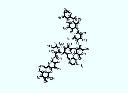 CC(CO)OC(OC1C(CN2CCN(C)CC2)OC(OC(C(CO)OOC2C(C)OC(OC3C(CO)OC(OC4C(CO)OC5OC5C4O)C(O)C3O)C(O)C2O)C(O)C(C)O)C(O)C1O)C(O)C(O)OC1OC(CO)C(OC2OC(CO)C(O)C(O)C2O)C(O)C1O